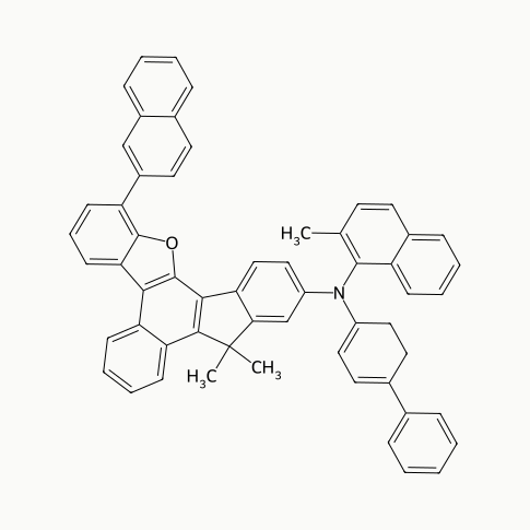 Cc1ccc2ccccc2c1N(C1=CC=C(c2ccccc2)CC1)c1ccc2c(c1)C(C)(C)c1c-2c2oc3c(-c4ccc5ccccc5c4)cccc3c2c2ccccc12